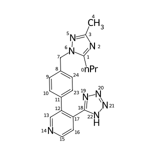 CCCc1nc(C)nn1Cc1ccc(-c2cnccc2-c2nnn[nH]2)cc1